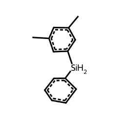 Cc1cc(C)cc([SiH2]c2ccccc2)c1